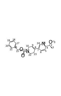 CO[C@@H](C)c1ccc(C2=CCN(C(=O)OCc3ccccc3)CC2)cn1